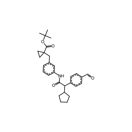 CC(C)(C)OC(=O)C1(Cc2cccc(NC(=O)C(c3ccc(C=O)cc3)C3CCCC3)c2)CC1